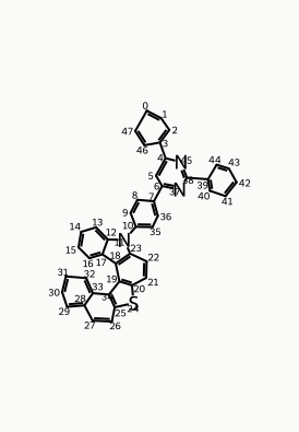 c1ccc(-c2cc(-c3ccc(-n4c5ccccc5c5c6c(ccc54)sc4ccc5ccccc5c46)cc3)nc(-c3ccccc3)n2)cc1